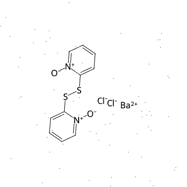 [Ba+2].[Cl-].[Cl-].[O-][n+]1ccccc1SSc1cccc[n+]1[O-]